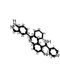 N=C(c1ccncc1)c1c(N)ccc2nc(-c3ccc4[nH]ncc4c3)c3c(c12)CCCC3